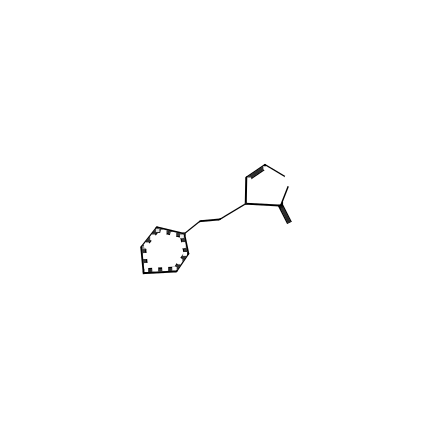 O=C1OC=CC1CCc1ccccc1